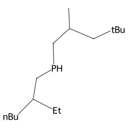 CCCCC(CC)CPCC(C)CC(C)(C)C